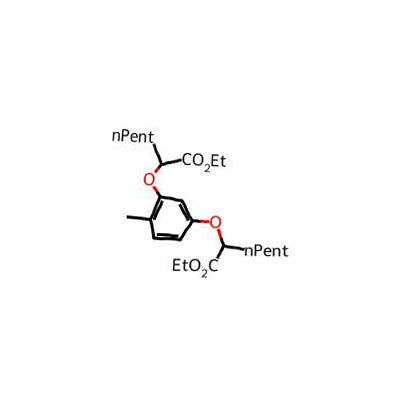 CCCCCC(Oc1ccc(C)c(OC(CCCCC)C(=O)OCC)c1)C(=O)OCC